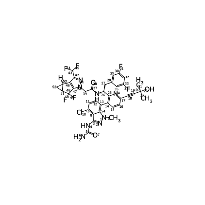 Cn1nc(NC(N)=O)c2c(Cl)ccc(-c3ccc(C#CC(C)(C)O)nc3[C@H](Cc3cc(F)cc(F)c3)NC(=O)Cn3nc(C(F)F)c4c3C(F)(F)C3C[C@H]43)c21